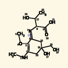 CNC1=C(OC)/C(=N/C(C(=O)O)C(C)O)CC(O)(CO)C1